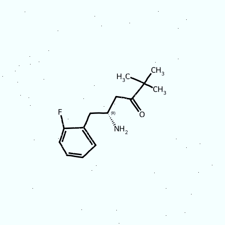 CC(C)(C)C(=O)C[C@H](N)Cc1ccccc1F